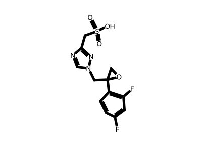 O=S(=O)(O)Cc1ncn(CC2(c3ccc(F)cc3F)CO2)n1